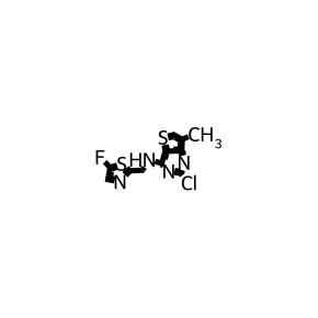 Cc1csc2c(NCc3ncc(F)s3)nc(Cl)nc12